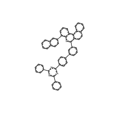 c1ccc(-c2nc(-c3ccccc3)nc(-c3ccc(-c4cccc(-c5nc6c(-c7ccc8ccccc8c7)cccc6c6c5ccc5ccccc56)c4)cc3)n2)cc1